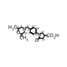 C[C@H]1CN(Cc2ccc(N3CC(C(=O)O)CC3=O)cc2)C[C@H](C)O1